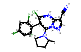 CC1CCCN1c1c(-c2c(F)cc(F)cc2F)c(Cl)nc2c(C#N)cnn12